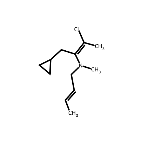 C/C=C/CN(C)/C(CC1CC1)=C(\C)Cl